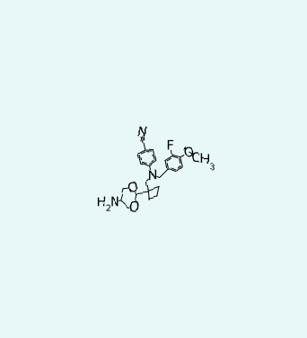 COc1ccc(CN(CC2(C3OCC(N)CO3)CCC2)c2ccc(C#N)cc2)cc1F